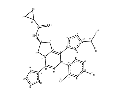 O=C(N[C@H]1CC2=C(c3ccn(C(F)F)n3)[C@H](c3ccc(F)cc3Cl)N=C(c3nccs3)N2C1)C1CC1